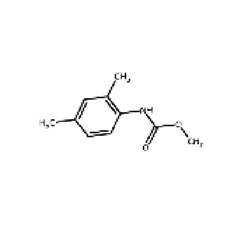 COC(=O)Nc1ccc(C)cc1C